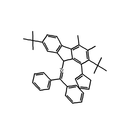 Cc1c(C)c(C(C)(C)C)c(C2=CC=CC2)c2c1-c1ccc(C(C)(C)C)cc1[CH]2[Zr]=[C](c1ccccc1)c1ccccc1